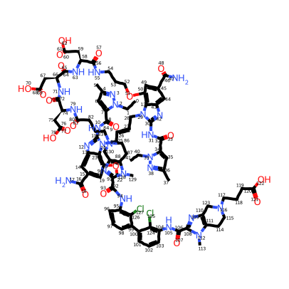 CCn1nc(C)cc1C(=O)Nc1nc2cc(C(N)=O)cc(OC)c2n1C/C=C/Cn1c(NC(=O)c2cc(C)nn2CC)nc2cc(C(N)=O)cc(OCCCNC(=O)[C@H](CC(=O)O)NC(=O)[C@H](CC(=O)O)NC(=O)[C@H](CC(=O)O)NC(=O)CCCN3CCc4c(nc(C(=O)Nc5cccc(-c6cccc(NC(=O)c7nc8c(n7C)CCN(CCCC(=O)O)C8)c6Cl)c5Cl)n4C)C3)c21